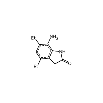 CCc1cc(CC)c2c(c1N)NC(=O)C2